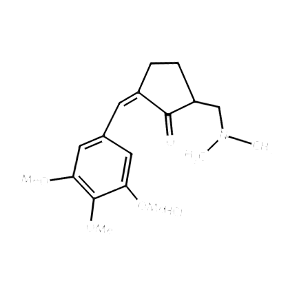 COc1cc(C=C2CCC(CN(C)C)C2=O)cc(OC)c1OC.Cl